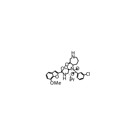 COc1cccc2cc(C(=O)N[C@@H](CC(C)C)C(=O)N(C3CCCNCC3=O)S(=O)(=O)c3cccc(Cl)c3)oc12